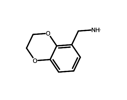 [NH]Cc1cccc2c1OCCO2